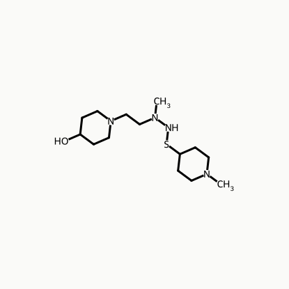 CN1CCC(SNN(C)CCN2CCC(O)CC2)CC1